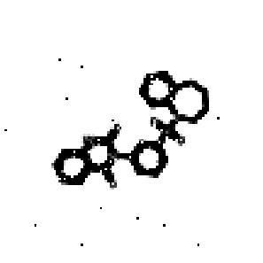 O=c1[nH]c2ccccc2c(=O)n1-c1cccc(S(=O)(=O)N2CCCCc3ccccc32)c1